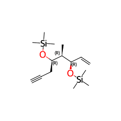 C#CC[C@@H](O[Si](C)(C)C)[C@@H](C)[C@@H](C=C)O[Si](C)(C)C